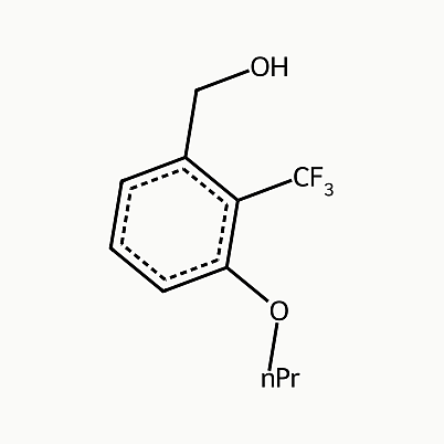 CCCOc1cccc(CO)c1C(F)(F)F